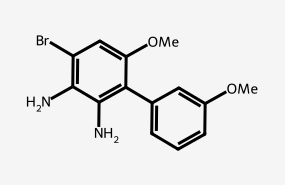 COc1cccc(-c2c(OC)cc(Br)c(N)c2N)c1